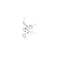 COC(=O)C1=C(C)N(c2cccc(C(F)(F)F)c2)c2n[nH]c(=O)n2C1c1ccc(C#N)cc1CCC[N+](C)(C)CCCO